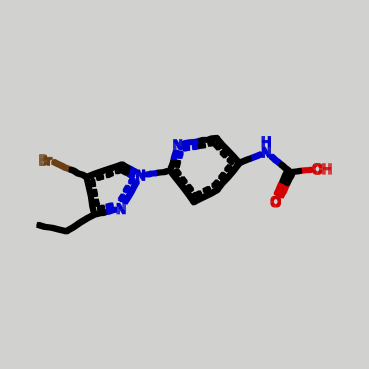 CCc1nn(-c2ccc(NC(=O)O)cn2)cc1Br